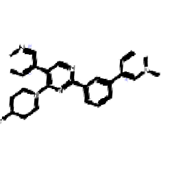 C=C/C(=C\N(C)C)c1cccc(-c2ncc(C(/C=N\C)=C/C)c(N3CCC(O)CC3)n2)c1